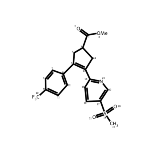 COC(=O)C1CC(c2ccc(C(F)(F)F)cc2)=C(c2ccc(S(C)(=O)=O)cn2)C1